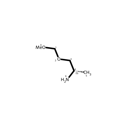 COCOC[C@H](C)N